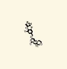 Cn1cc(Oc2c(F)cc(COc3cc4n(c(=O)n3)C[C@@H]3COCCN43)cc2F)cn1